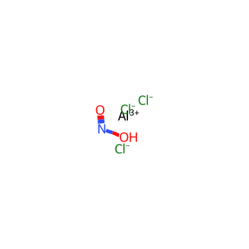 O=NO.[Al+3].[Cl-].[Cl-].[Cl-]